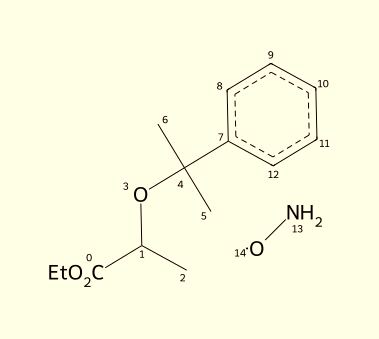 CCOC(=O)C(C)OC(C)(C)c1ccccc1.N[O]